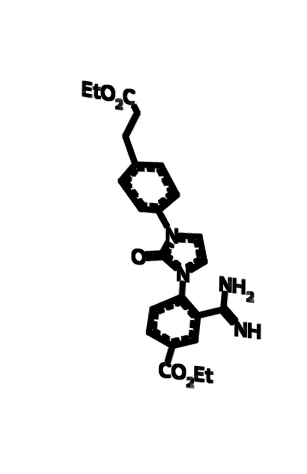 CCOC(=O)CCc1ccc(-n2ccn(-c3ccc(C(=O)OCC)cc3C(=N)N)c2=O)cc1